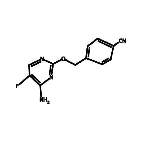 N#Cc1ccc(COc2ncc(F)c(N)n2)cc1